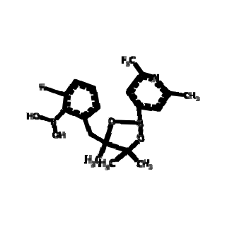 Cc1cc(B2OC(C)(C)C(C)(Cc3cccc(F)c3B(O)O)O2)cc(C(F)(F)F)n1